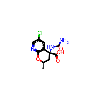 C[C@@H]1C[C@@](NC(N)=O)(C(=O)O)c2cc(Cl)cnc2O1